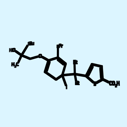 CCCC1=CC(I)(C(CC)(CC)c2ccc(C(=O)O)s2)CC=C1OCC(C)(O)C(C)(C)C